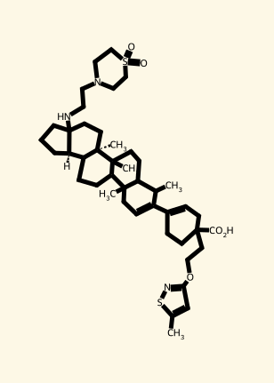 Cc1cc(OCCC2(C(=O)O)CC=C(C3=CCC4(C)C(CCC5(C)C4CCC4[C@H]6CCCC6(NCCN6CCS(=O)(=O)CC6)CC[C@]45C)C3C)CC2)ns1